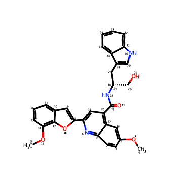 COc1ccc2nc(-c3cc4cccc(OC)c4o3)cc(C(=O)N[C@@H](CO)Cc3c[nH]c4ccccc34)c2c1